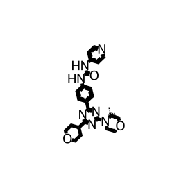 C[C@@H]1COCCN1c1nc(-c2ccc(NC(=O)Nc3ccncc3)cc2)nc(C2CCOCC2)n1